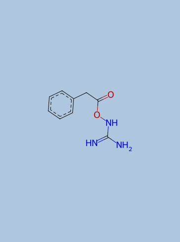 N=C(N)NOC(=O)Cc1ccccc1